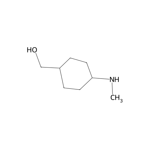 CNC1CCC(CO)CC1